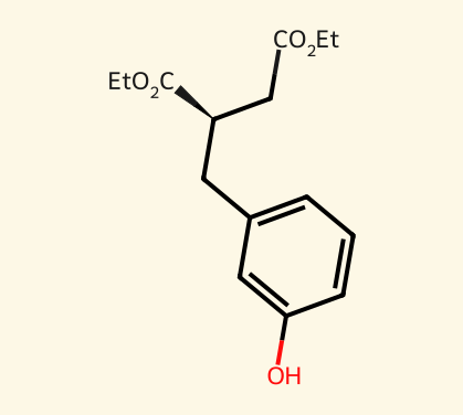 CCOC(=O)C[C@@H](Cc1cccc(O)c1)C(=O)OCC